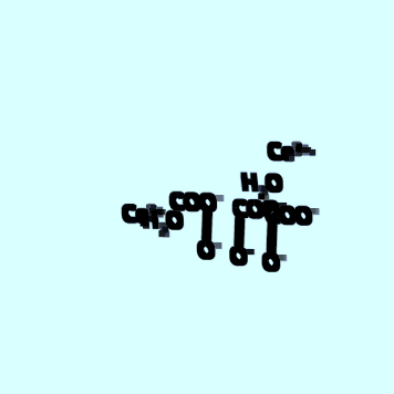 O.O.O=C([O-])[O-].O=C([O-])[O-].O=C([O-])[O-].[Ce+3].[Ce+3]